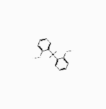 ONc1ccccc1C(c1ccccc1NO)(C(F)(F)F)C(F)(F)F